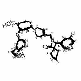 O=C(O)c1ccc(N2CCC(CN3C(=O)C4(CCCC4)C3c3cncc(Cl)c3)CC2)cc1Oc1cnc2[nH]ccc2c1